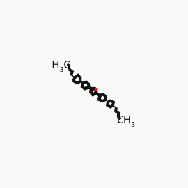 CCCCC[C@H]1CC[C@H](C2CC=C(c3ccc(C4=CCC([C@H]5CC[C@H](CCCCC)CC5)CC4)cc3)CC2)CC1